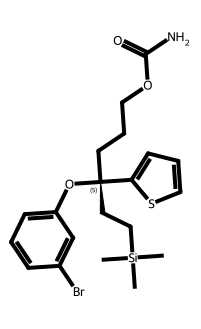 C[Si](C)(C)CC[C@](CCCOC(N)=O)(Oc1cccc(Br)c1)c1cccs1